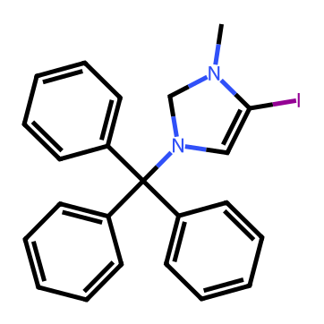 CN1CN(C(c2ccccc2)(c2ccccc2)c2ccccc2)C=C1I